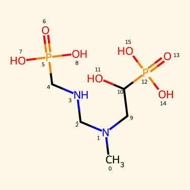 CN([CH]NCP(=O)(O)O)CC(O)P(=O)(O)O